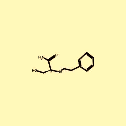 NC(=O)[C@H](CO)NCCc1ccccc1